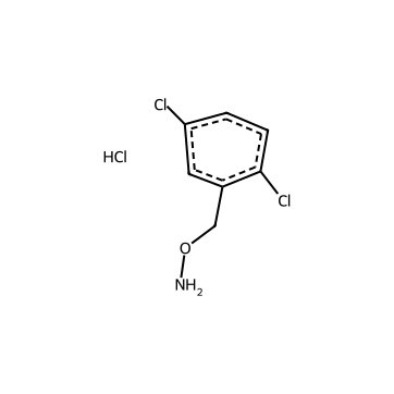 Cl.NOCc1cc(Cl)ccc1Cl